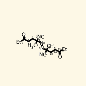 [C-]#[N+]C(C)(CCC(=O)CC)/N=N/C(C)(C#N)CCC(=O)CC